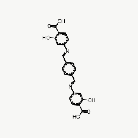 O=C(O)c1ccc(N=Cc2ccc(C=Nc3ccc(C(=O)O)c(O)c3)cc2)cc1O